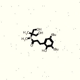 CN(C(=O)CCc1cc(C(C)(C)C)cc(C(C)(C)C)c1O)C(C)(CO)CO